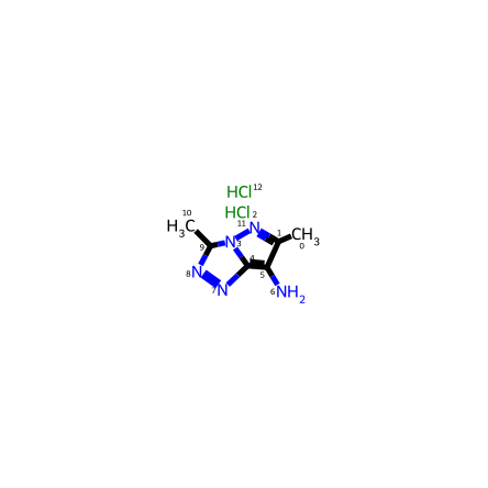 Cc1nn2c(c1N)N=NC2C.Cl.Cl